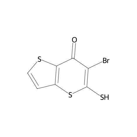 O=c1c(Br)c(S)sc2ccsc12